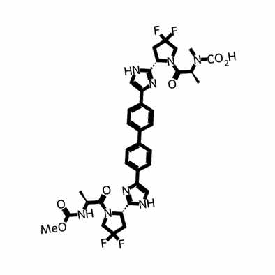 COC(=O)N[C@@H](C)C(=O)N1CC(F)(F)C[C@H]1c1nc(-c2ccc(-c3ccc(-c4c[nH]c([C@@H]5CC(F)(F)CN5C(=O)[C@H](C)N(C)C(=O)O)n4)cc3)cc2)c[nH]1